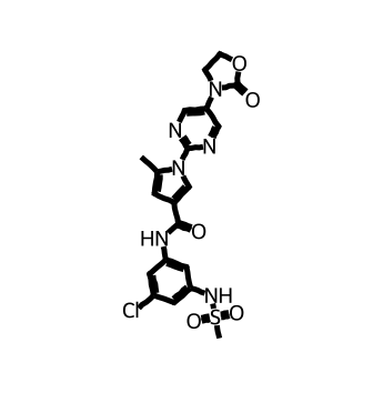 Cc1cc(C(=O)Nc2cc(Cl)cc(NS(C)(=O)=O)c2)cn1-c1ncc(N2CCOC2=O)cn1